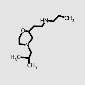 CCCNCCC1CN(CC(C)C)CCO1